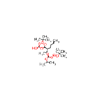 CC(C)OC(=O)OOOC(C)(C)C.CCCCC(CC)C(OOC(C)(C)C)OC(=O)O